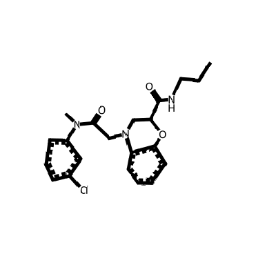 CCCNC(=O)C1CN(CC(=O)N(C)c2cccc(Cl)c2)c2ccccc2O1